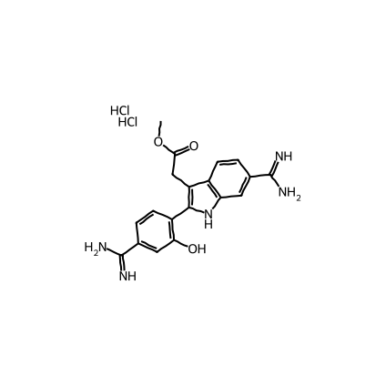 COC(=O)Cc1c(-c2ccc(C(=N)N)cc2O)[nH]c2cc(C(=N)N)ccc12.Cl.Cl